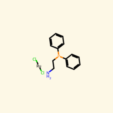 NCCP(c1ccccc1)c1ccccc1.[Cl][Ru][Cl]